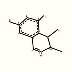 Cc1cc(C)c2c(c1)C=NC(C)C2C